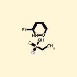 CCC1=CC=CON1.CCS(=O)(=O)O